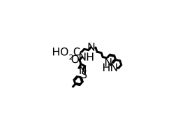 Cc1ccc(SN2CC(C(=O)NC(CCN(C)CCCCc3ccc4c(n3)NCCC4)C(=O)O)C2)cc1